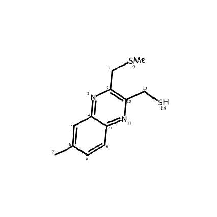 CSCc1nc2cc(C)ccc2nc1CS